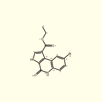 CCOC(=O)c1c[nH]c2c(=O)[nH]c3ccc(Br)cc3c12